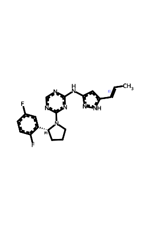 C/C=C/c1cc(Nc2ncnc(N3CCC[C@@H]3c3cc(F)ccc3F)n2)n[nH]1